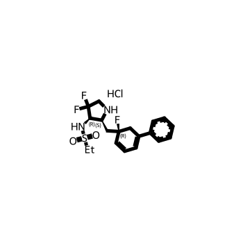 CCS(=O)(=O)N[C@@H]1[C@H](C[C@@]2(F)C=CC=C(c3ccccc3)C2)NCC1(F)F.Cl